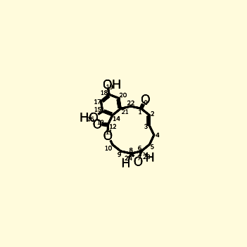 O=C1/C=C/CC[C@H]2O[C@@H]2CCOC(=O)c2c(O)cc(O)cc2C1